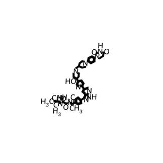 Cc1cc(-c2n[nH]c3ncc(-c4ccc(C5(O)CCN(CC6CCN(c7ccc(N8CCC(=O)NC8=O)cc7)CC6)CC5)cn4)cc23)ccc1C(C)NC(=O)c1nc(C(C)(C)C)no1